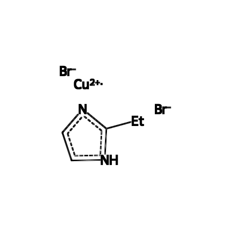 CCc1ncc[nH]1.[Br-].[Br-].[Cu+2]